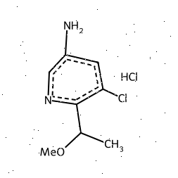 COC(C)c1ncc(N)cc1Cl.Cl